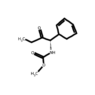 CCC(=O)[C@@H](NC(=O)OC)C1C=CC=CC1